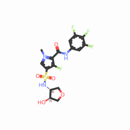 Cn1cc(S(=O)(=O)N[C@@H]2COC[C@H]2O)c(F)c1C(=O)Nc1cc(F)c(F)c(F)c1